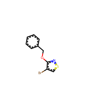 Brc1csnc1OCc1ccccc1